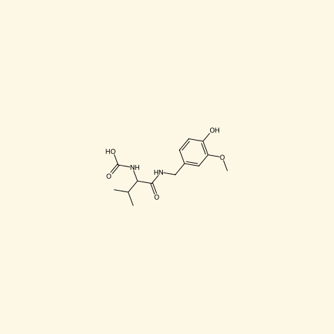 COc1cc(CNC(=O)C(NC(=O)O)C(C)C)ccc1O